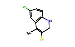 CC1=C(S)CNc2ccc(Cl)cc21